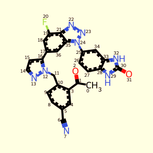 CC(=O)c1cc(C#N)ccc1Cn1nccc1-c1cc(F)c2nnn(-c3ccc4[nH]c(=O)[nH]c4c3)c2c1